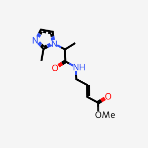 COC(=O)/C=C/CNC(=O)C(C)n1ccnc1C